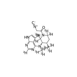 [2H]c1nc(N([C@@H]2[C@H](C([2H])([2H])[2H])CC([2H])([2H])N(C(=O)C[N+]#[C-])C2([2H])[2H])C([2H])([2H])[2H])c2c([2H])c[nH]c2n1